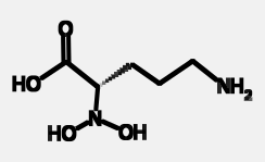 NCCC[C@@H](C(=O)O)N(O)O